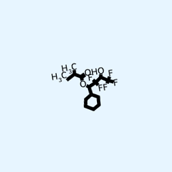 CCC(C)C(=O)OC(C1CCCCC1)C(F)(F)C(O)C(F)(F)F